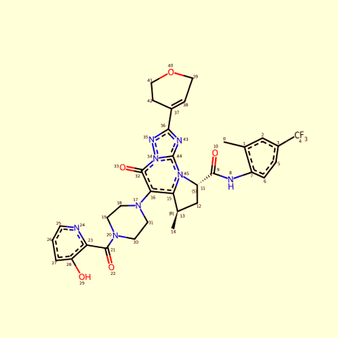 Cc1cc(C(F)(F)F)ccc1NC(=O)[C@@H]1C[C@@H](C)c2c(N3CCN(C(=O)c4ncccc4O)CC3)c(=O)n3nc(C4=CCOCC4)nc3n21